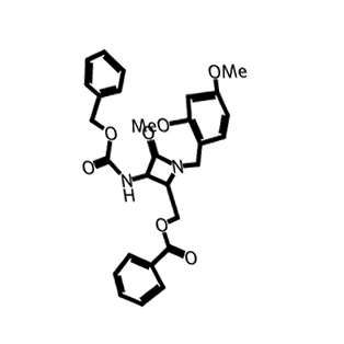 COc1ccc(CN2C(=O)C(NC(=O)OCc3ccccc3)C2COC(=O)c2ccccc2)c(OC)c1